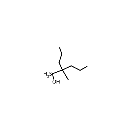 CCCC(C)(CCC)[SiH2]O